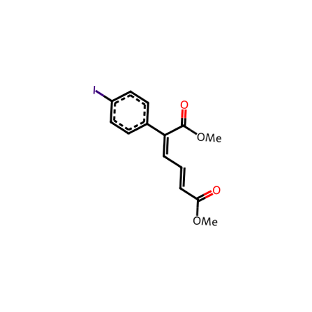 COC(=O)C=CC=C(C(=O)OC)c1ccc(I)cc1